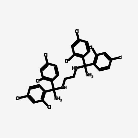 NC(BCCBC(N)(c1ccc(Cl)cc1Cl)c1ccc(Cl)cc1Cl)(c1ccc(Cl)cc1Cl)c1ccc(Cl)cc1Cl